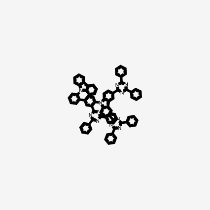 c1ccc(-c2nc(-c3ccccc3)nc(-c3ccc4c(c3)c3cc(-c5nc(-c6ccccc6)nc(-c6ccccc6)n5)ccc3n4-c3ccc(-c4ccccc4-n4c5ccccc5c5ccccc54)cc3-c3nc(-c4ccccc4)nc(-c4ccccc4)n3)n2)cc1